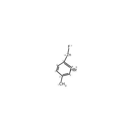 Br.Cc1cc[c]([Zn][F])cc1